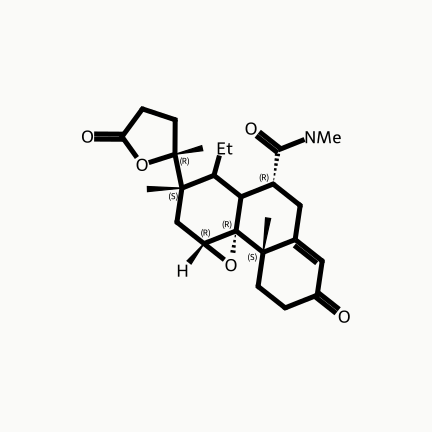 CCC1C2[C@H](C(=O)NC)CC3=CC(=O)CC[C@]3(C)[C@]23O[C@@H]3C[C@]1(C)[C@@]1(C)CCC(=O)O1